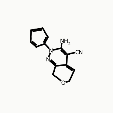 N#CC1=C(N)N(c2ccccc2)N=C2COCC=C21